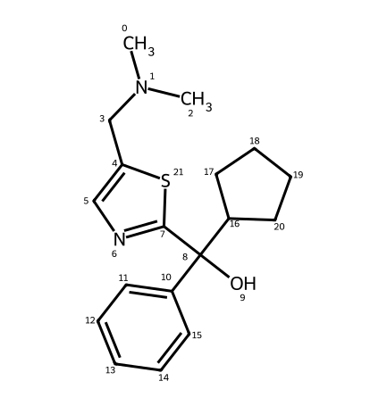 CN(C)Cc1cnc(C(O)(c2ccccc2)C2CCCC2)s1